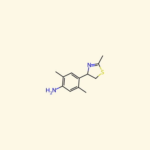 CC1=NC(c2cc(C)c(N)cc2C)CS1